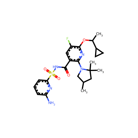 CC1CN(c2nc(OC(C)C3CC3)c(F)cc2C(=O)NS(=O)(=O)c2cccc(N)n2)C(C)(C)C1